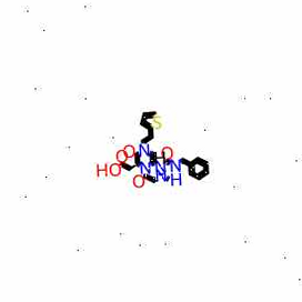 CN1CC(=O)N2[C@@H](CC(=O)O)C(=O)N(CCc3cccs3)C[C@@H]2N1C(=O)NCc1ccccc1